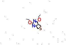 CCOc1nc(OCC)c2cscc2n1